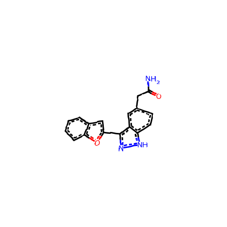 NC(=O)Cc1ccc2[nH]nc(-c3cc4ccccc4o3)c2c1